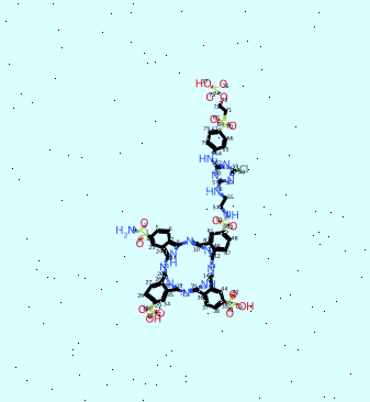 NS(=O)(=O)c1ccc2c3nc4nc(nc5[nH]c(nc6nc(nc([nH]3)c2c1)-c1ccc(S(=O)(=O)O)cc1-6)c1ccc(S(=O)(=O)O)cc51)-c1ccc(S(=O)(=O)NCCNc2nc(Cl)nc(Nc3ccc(S(=O)(=O)CCOS(=O)(=O)O)cc3)n2)cc1-4